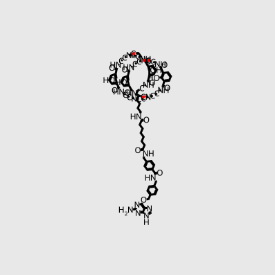 Nc1nc(OCc2ccc(CNC(=O)c3ccc(CNC(=O)CCCCCCC(=O)NCCCCC4CN5CCNC(=O)c6cccc(c6O)C(=O)NCCN(CCNC(=O)c6cccc(c6O)C(=O)N4)CCN4CCNC(=O)c6cccc(c6O)C(=O)NCCN(CCNC(=O)c6cccc(c6O)C(=O)NCC4)CC5)cc3)cc2)c2nc[nH]c2n1